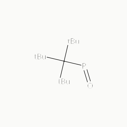 CC(C)(C)C(P=O)(C(C)(C)C)C(C)(C)C